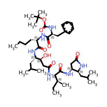 CCCC[C@H](NC(=O)[C@H](Cc1ccccc1)NC(=O)OC(C)(C)C)C(=O)N[C@@H](CC(C)C)[C@@H](O)CC(=O)N[C@H](C(=O)N[C@H]1CC(=O)N[C@H]1CC(C)C)[C@@H](C)CC